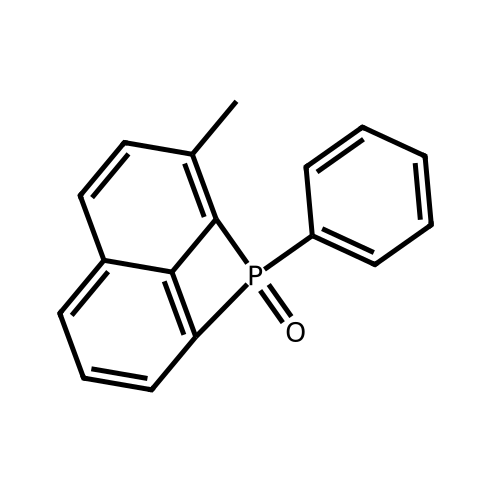 Cc1ccc2cccc3c2c1P3(=O)c1ccccc1